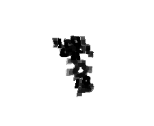 CC(C)(C)[S+]([O-])/N=C/c1ccc(OC(F)(F)F)cc1